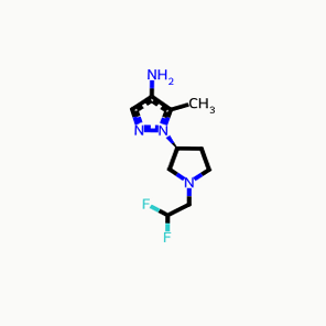 Cc1c(N)cnn1[C@H]1CCN(CC(F)F)C1